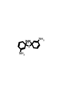 NC1=CC(N)(SC2(N)C=C(N)C=CC2)CC=C1